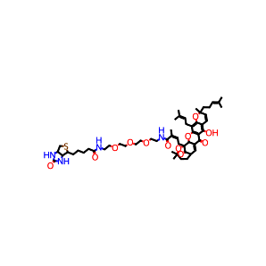 CC(C)=CCCC1(C)C=Cc2c(O)c3c(c(CC=C(C)C)c2O1)OC1C(=CC2CCC(C)(C)OC1(C/C=C(/C)C(=O)NCCOCCOCCOCCNC(=O)CCCCC1SCC4NC(=O)NC41)C2=O)C3=O